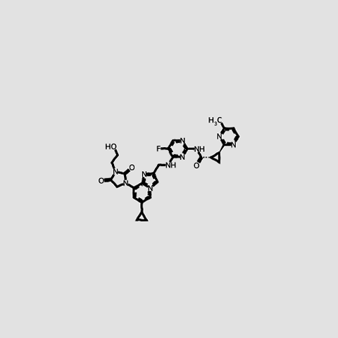 Cc1ccnc([C@H]2C[C@@H]2C(=O)Nc2ncc(F)c(NCc3cn4cc(C5CC5)cc(N5CC(=O)N(CCO)C5=O)c4n3)n2)n1